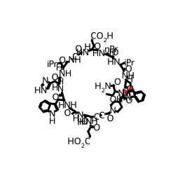 CCC[C@@H]1NC(=O)[C@H](CCC(=O)O)NC(=O)CNC(=O)[C@H](CC(C)C)NC(=O)[C@H](Cc2c[nH]cn2)NC(=O)[C@H](Cc2c[nH]c3ccccc23)NC(=O)[C@H](C)NC(=O)[C@@H](NC(=O)CCC(=O)O)CCC(=O)N2CCC(C(=O)NC(C(N)=O)C(C)O)(CC2)NC(=O)[C@H](Cc2c[nH]c3ccccc23)NC(=O)C(C(C)C)NC1=O